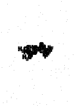 COc1cc(F)c(C(C)C)cc1C1=CCCN(C(=O)OCN2C(=O)O[C@H](c3cc(C(F)(F)F)cc(C(F)(F)F)c3)[C@@H]2C)C1